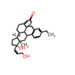 CCc1ccc2c(c1)C[C@]13CCC(=O)C=C1CC[C@@H]1C3C2C[C@@]2(C)[C@H]1CC[C@@]2(O)/C=C\CO